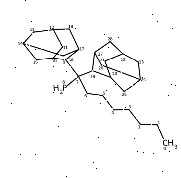 CCCCCCCC(P)(C1C2CC3CC(C2)CC1C3)C1C2CC3CC(C2)CC1C3